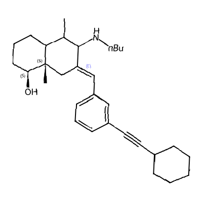 CCCCNC1/C(=C/c2cccc(C#CC3CCCCC3)c2)C[C@@]2(C)C(CCC[C@@H]2O)C1C